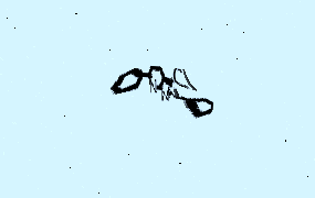 Clc1c2ccc(-c3ccccc3)nc2nn1-c1ccccc1